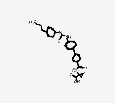 CCCCc1ccc(NC(=O)Nc2ccc(-c3ccc(C(=O)NC4(C(=O)O)CC4)cc3)cc2)cc1